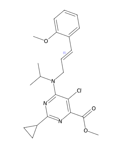 COC(=O)c1nc(C2CC2)nc(N(C/C=C/c2ccccc2OC)C(C)C)c1Cl